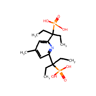 CCC(CC)(c1cc(C)cc(C(CC)(CC)P(=O)(O)O)n1)P(=O)(O)O